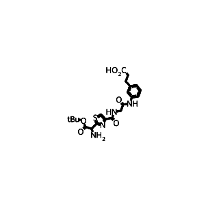 CC(C)(C)OC(=O)C(N)c1nc(C(=O)NCC(=O)Nc2cccc(CCC(=O)O)c2)cs1